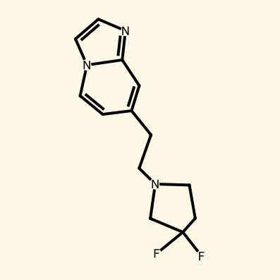 FC1(F)CCN(CCc2ccn3ccnc3c2)C1